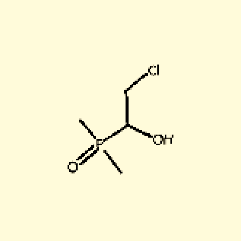 CP(C)(=O)C(O)CCl